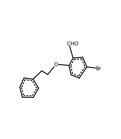 O=Cc1cc(Br)ccc1OCCc1ccccc1